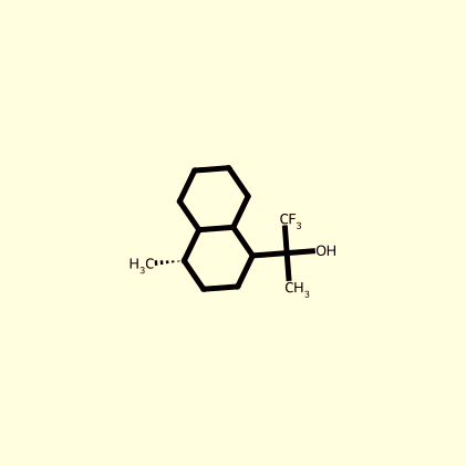 C[C@H]1CCC(C(C)(O)C(F)(F)F)C2CCCCC21